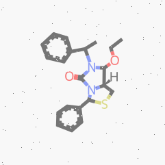 CCOC1[C@@H]2CSC(c3ccccc3)N2C(=O)N1C(C)c1ccccc1